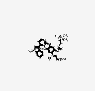 CNCCN(C)c1cc(OC)c(Nc2nccc(-c3cn(C)c4ccccc34)n2)cc1NC(=O)OCC[Si](C)(C)C